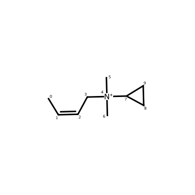 C/C=C\C[N+](C)(C)C1CC1